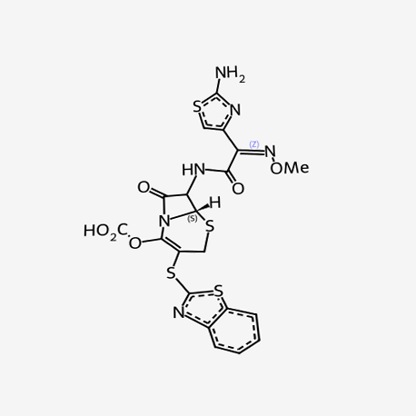 CO/N=C(\C(=O)NC1C(=O)N2C(OC(=O)O)=C(Sc3nc4ccccc4s3)CS[C@@H]12)c1csc(N)n1